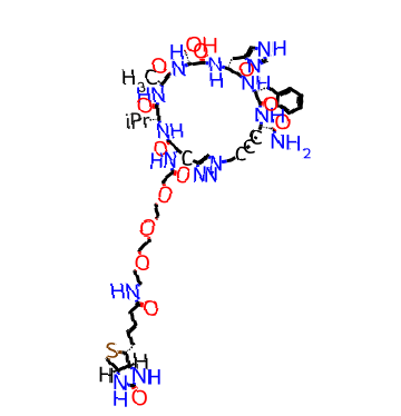 CC(C)[C@H]1NC(=O)[C@@H](NC(=O)COCCOCCOCCNC(=O)CCCC[C@H]2SC[C@H]3NC(=O)N[C@H]32)Cc2cn(nn2)CCCC[C@@H](C(N)=O)NC(=O)[C@@H](Cc2ccccc2)NC(=O)[C@@H](Cc2c[nH]cn2)NC(=O)[C@@H](CO)NC(=O)[C@@H](C)NC1=O